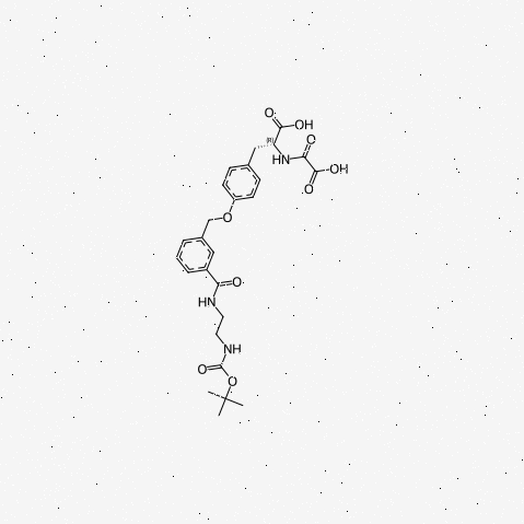 CC(C)(C)OC(=O)NCCNC(=O)c1cccc(COc2ccc(C[C@@H](NC(=O)C(=O)O)C(=O)O)cc2)c1